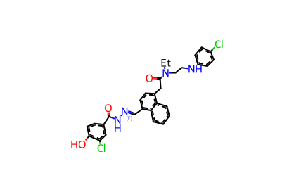 CCN(CCNc1ccc(Cl)cc1)C(=O)Cc1ccc(/C=N/NC(=O)c2ccc(O)c(Cl)c2)c2ccccc12